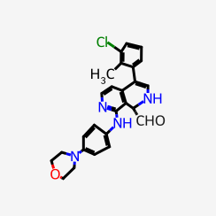 Cc1c(Cl)cccc1C1=CNC(C=O)c2c1ccnc2Nc1ccc(N2CCOCC2)cc1